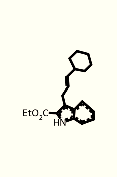 CCOC(=O)c1[nH]c2ccccc2c1C/C=C/C1CCCCC1